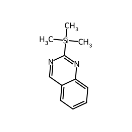 C[Si](C)(C)c1ncc2ccccc2n1